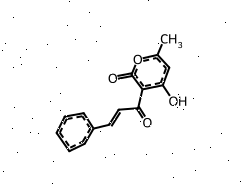 Cc1cc(O)c(C(=O)/C=C/c2ccccc2)c(=O)o1